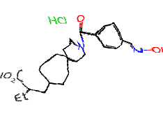 CCC(CC1CCC2(CC1)CCN(C(=O)c1ccc(C=NO)cc1)CC2)C(=O)O.Cl